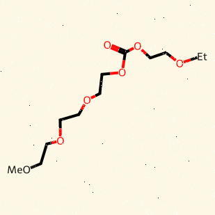 CCOCCOC(=O)OCCOCCOCCOC